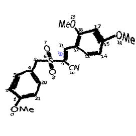 COc1ccc(CS(=O)(=O)/C(C#N)=C/c2ccc(OC)cc2OC)cc1